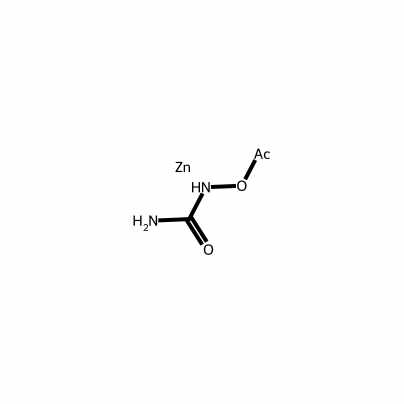 CC(=O)ONC(N)=O.[Zn]